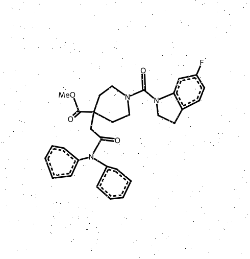 COC(=O)C1(CC(=O)N(c2ccccc2)c2ccccc2)CCN(C(=O)N2CCc3ccc(F)cc32)CC1